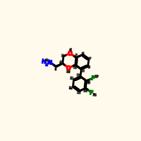 NC[C@H]1COc2cccc(-c3cccc(F)c3F)c2O1